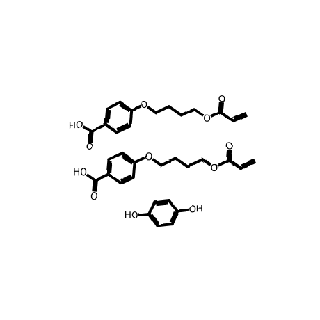 C=CC(=O)OCCCCOc1ccc(C(=O)O)cc1.C=CC(=O)OCCCCOc1ccc(C(=O)O)cc1.Oc1ccc(O)cc1